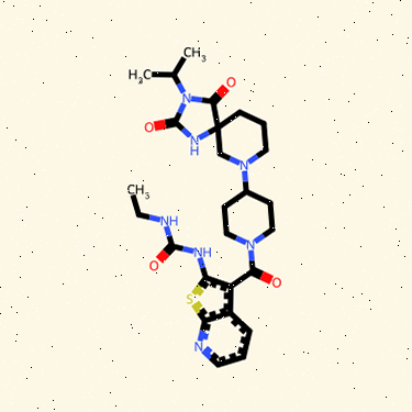 CCNC(=O)Nc1sc2ncccc2c1C(=O)N1CCC(N2CCCC3(C2)NC(=O)N(C(C)C)C3=O)CC1